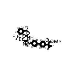 CCc1nnn(-c2ccc(-c3ccc(C4(C(=O)OC)CC4)cc3)cc2)c1NC(=O)O[C@H](C)c1cccc(C(F)(F)F)c1